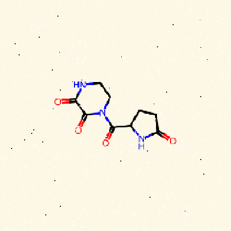 O=C1CCC(C(=O)N2CCNC(=O)C2=O)N1